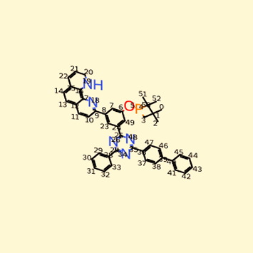 CC1(C)CP(Oc2cc(-c3ccc4ccc5c(c4n3)NCC=C5)cc(-c3nc(-c4ccccc4)nc(-c4ccc(-c5ccccc5)cc4)n3)c2)C1(C)C